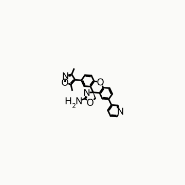 Cc1noc(C)c1-c1ccc2c(c1)[C@]1(COC(N)=N1)c1cc(-c3cccnc3)ccc1O2